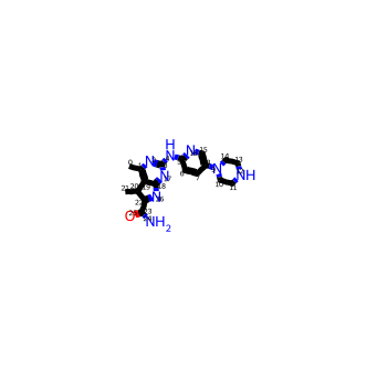 Cc1nc(Nc2ccc(N3CCNCC3)cn2)nc2c1C(C)C(C(N)=O)=N2